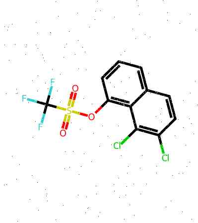 O=S(=O)(Oc1cccc2ccc(Cl)c(Cl)c12)C(F)(F)F